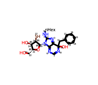 CCCCCCNC1N=C2C(=NC=NC2(O)Cc2ccccc2)N1[C@@H]1O[C@H](CO)[C@@H](O)[C@H]1S